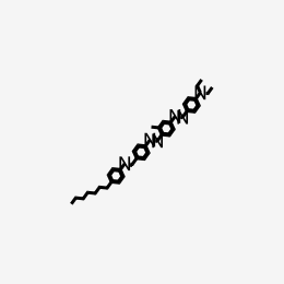 CCCCCCCc1ccc(N=Cc2ccc(N=Nc3ccc(N=Nc4ccc(N(CC)CC)cc4)cc3C)cc2)cc1